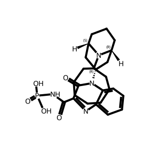 O=C(NP(=O)(O)O)c1nc2ccccc2n([C@H]2C[C@H]3CCC[C@@H](C2)N3C2CCCCCCC2)c1=O